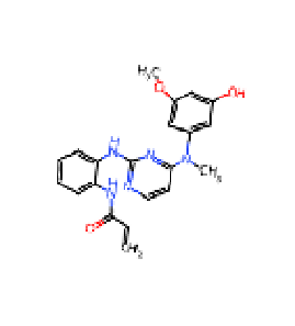 C=CC(=O)Nc1ccccc1Nc1nccc(N(C)c2cc(O)cc(OC)c2)n1